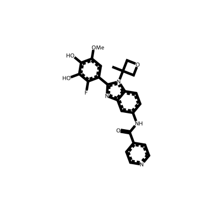 COc1cc(-c2nc3cc(NC(=O)c4ccncc4)ccc3n2C2(C)COC2)c(F)c(O)c1O